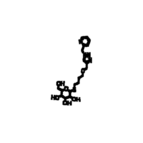 OCC1OC(SCCCCOCc2cn(Cc3ccccn3)nn2)C(O)C(O)C1O